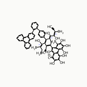 BC/C(B)=C(/O)C1=C(c2ccc(-c3ccccc3-c3ccc4c5ccccc5c5ccccc5c4c3)cc2)/C(=C(O)/C(O)=C(/B)C#C)CC(c2c(O)c3c(C)c(O)c(O)c(O)c3c3c(O)c(O)c(O)c(B)c23)=C1C#C